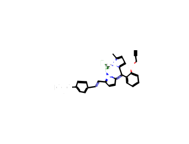 C#CCOc1ccccc1/C(=C1\C=CC(/C=C/c2ccc(C(=O)O)cc2)=[N+]1C)c1ccc(C)n1B(F)F